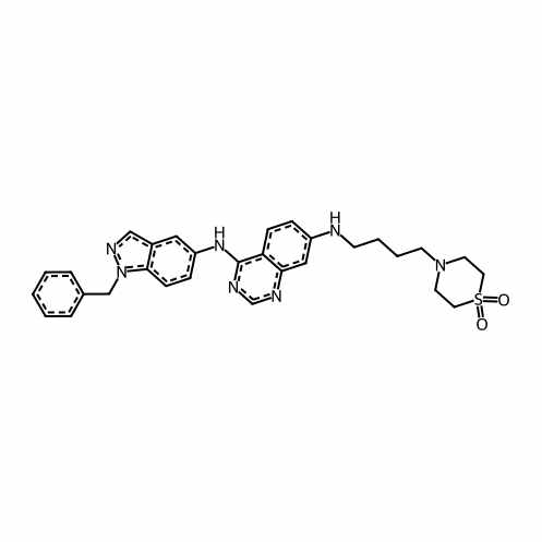 O=S1(=O)CCN(CCCCNc2ccc3c(Nc4ccc5c(cnn5Cc5ccccc5)c4)ncnc3c2)CC1